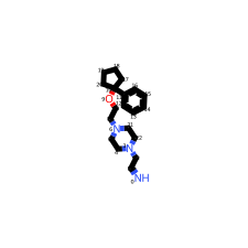 N=CCN1CCN(CCOC2(c3ccccc3)CCCC2)CC1